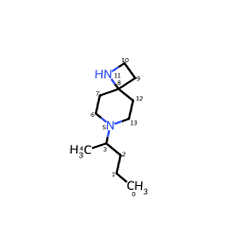 CCCC(C)N1CCC2(CCN2)CC1